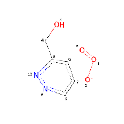 O=[O+][O-].OCc1cccnn1